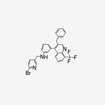 FC(F)(F)c1cccc2c(-c3cccc(NCc4ccc(Br)nc4)c3)c(Cc3ccccc3)cnc12